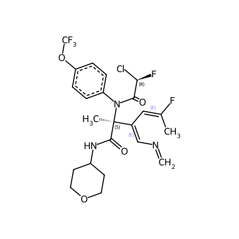 C=N/C=C(\C=C(/C)F)[C@@](C)(C(=O)NC1CCOCC1)N(C(=O)[C@H](F)Cl)c1ccc(OC(F)(F)F)cc1